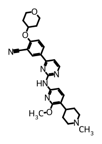 COc1nc(Nc2nccc(-c3ccc(OC4CCOCC4)c(C#N)c3)n2)ccc1C1CCN(C)CC1